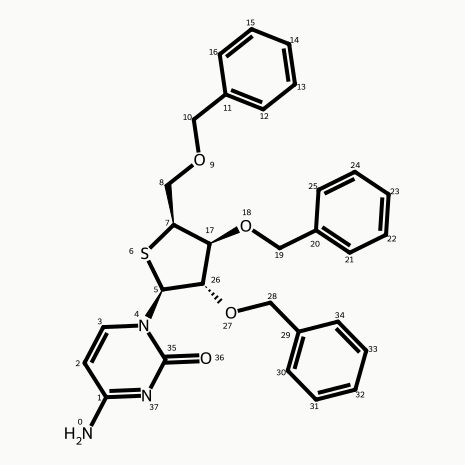 Nc1ccn([C@H]2S[C@@H](COCc3ccccc3)[C@@H](OCc3ccccc3)[C@@H]2OCc2ccccc2)c(=O)n1